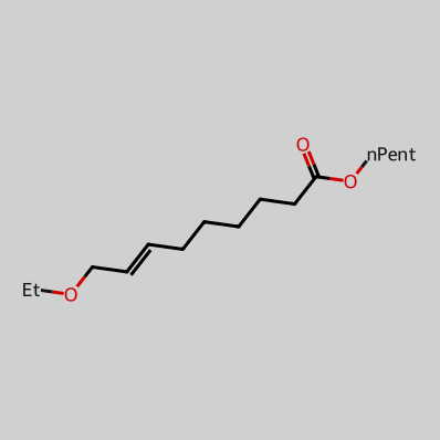 CCCCCOC(=O)CCCCCC=CCOCC